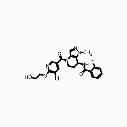 Cn1ncc2c1C(NC(=O)c1ccccc1Cl)CCN2C(=O)c1cnc(OCCO)c(Cl)c1